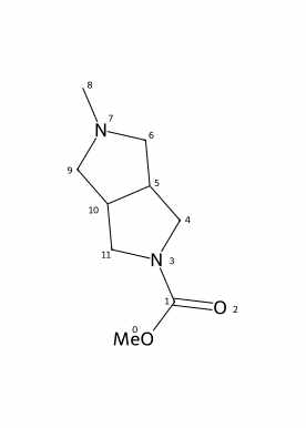 COC(=O)N1CC2CN(C)CC2C1